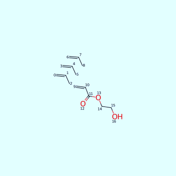 C=CC.C=CC.C=CC.C=CC(=O)OCCO